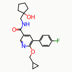 O=C(NCC1(O)CCCC1)c1cnc(OCC2CC2)c(-c2ccc(F)cc2)c1